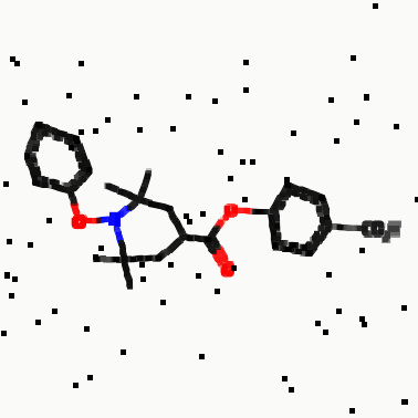 CC1(C)CC(C(=O)Oc2ccc(C(=O)O)cc2)CC(C)(C)N1Oc1ccccc1